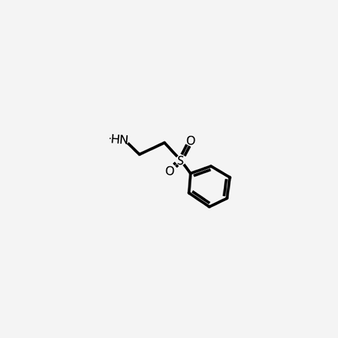 [NH]CCS(=O)(=O)c1ccccc1